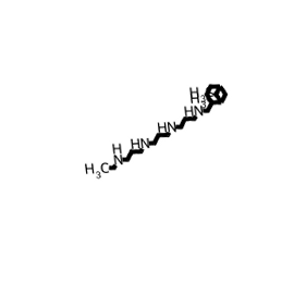 CCNCCCNCCCNCCCNCC1CCC2CC1C2(C)C